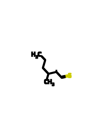 CCCC(C)[CH]C=S